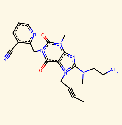 CC#CCn1c(N(C)CCN)nc2c1c(=O)n(Cc1ncccc1C#N)c(=O)n2C